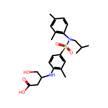 Cc1ccc(N(CC(C)C)S(=O)(=O)c2ccc(NC(CO)CC(=O)O)c(C)c2)c(C)c1